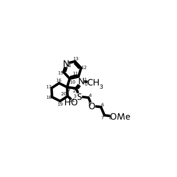 CN=C(SCOCCOC)C1(c2cccnc2)CCCCC1O